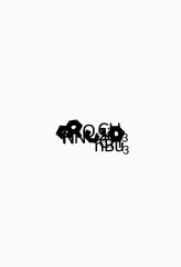 CCCCC(CC(=O)Nc1cccc2cccnc12)C[Si](C)(C)c1ccccc1